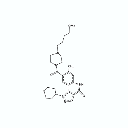 COCCCCN1CCN(C(=O)c2cc3c(cc2C)[nH]c(=O)c2cnn(C4CCOCC4)c23)CC1